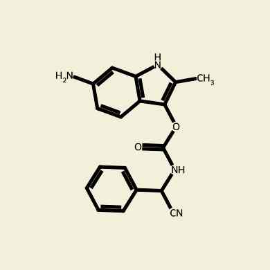 Cc1[nH]c2cc(N)ccc2c1OC(=O)NC(C#N)c1ccccc1